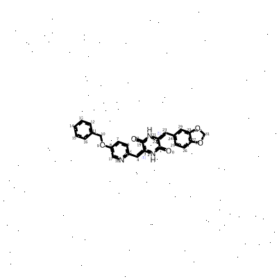 O=c1[nH]/c(=C/c2ccc(OCc3ccccc3)cn2)c(=O)[nH]/c1=C/c1ccc2c(c1)OCO2